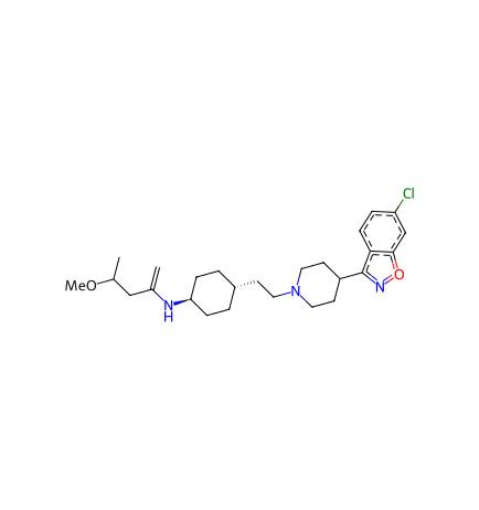 C=C(CC(C)OC)N[C@H]1CC[C@H](CCN2CCC(c3noc4cc(Cl)ccc34)CC2)CC1